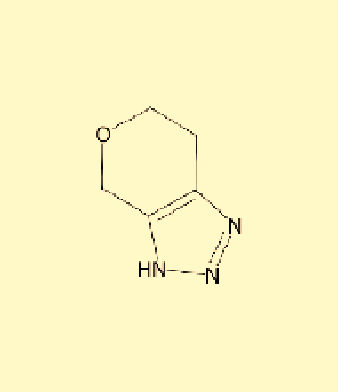 C1Cc2nn[nH]c2CO1